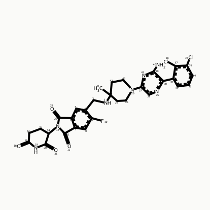 CC1(NCc2cc3c(cc2F)C(=O)N(C2CCC(=O)NC2=O)C3=O)CCN(c2cnc(-c3cccc(Cl)c3Cl)c(N)n2)CC1